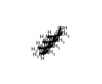 COc1ccc(NC(=O)[C@H](CCCCNC(=N)N)NC(=O)c2cc(NC(=O)[C@H](CCCNC(=N)N)NC(=O)c3cc(NC(=O)[C@H](CCCNC(=N)N)NC(=O)c4cc(NC(C)=O)ccc4OC)ccc3OC)ccc2OC)cc1C(=O)NCCC(=O)O